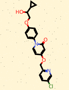 O=c1cc(OCc2ccc(Cl)cn2)ccn1-c1ccc(OCC(O)C2CC2)cc1